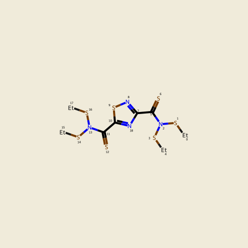 CCSN(SCC)C(=S)c1nsc(C(=S)N(SCC)SCC)n1